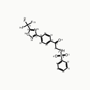 O=C(CNS(=O)(=O)c1ccccc1)c1ccc(-c2noc(C(F)(F)F)n2)cc1